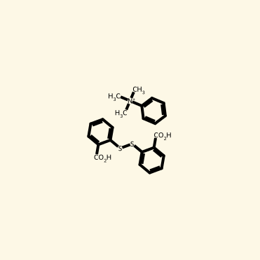 C[N+](C)(C)c1ccccc1.O=C(O)c1ccccc1SSc1ccccc1C(=O)O